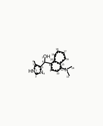 Cc1[nH]cnc1C(O)c1ccc(N(C)C)c2ccccc12